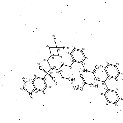 COC(=O)N[C@H](C(=O)Nc1ccccc1CC[C@@H](CO)N(CC1CC(F)(F)C1)S(=O)(=O)c1ccc2ncsc2c1)C(c1ccccc1)c1ccccc1